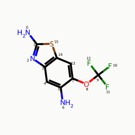 Nc1nc2cc(N)c(OC(F)(F)F)cc2s1